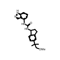 COCC(C)(C)c1ccc2c(c1)CCC2NC(=O)Nc1cccc2[nH]ncc12